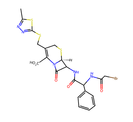 Cc1nnc(SCC2=C(C(=O)O)N3C(=O)C(NC(=O)C(NC(=O)CBr)c4ccccc4)[C@@H]3SC2)s1